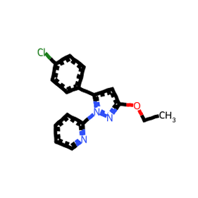 CCOc1cc(-c2ccc(Cl)cc2)n(-c2ccccn2)n1